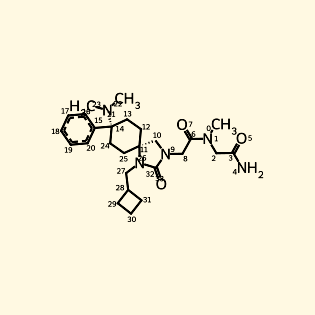 CN(CC(N)=O)C(=O)CN1C[C@]2(CC[C@@](c3ccccc3)(N(C)C)CC2)N(CC2CCC2)C1=O